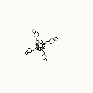 C[Si]1(CCC2CCC3CC3C2)O[Si](C)(CCC2CCC3OC3C2)O[Si](C)(CCC2CCC3OC3C2)O[Si](C)(CCC2CCC3OC3C2)O1